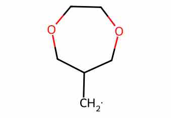 [CH2]C1COCCOC1